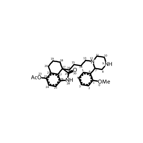 COc1ccccc1C1CNCCN1CCCCC12CCCc3c(OC(C)=O)ccc(c31)NC2=O